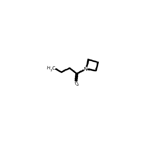 CCCC(=O)N1CCC1